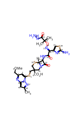 COCc1cc(SCC2(C(=O)O)CS[C@@H]3C(NC(=O)C(=NOC(C)(C)C(=O)NN)c4csc(N)n4)C(=O)N3C2)n2nc(C)cc2n1